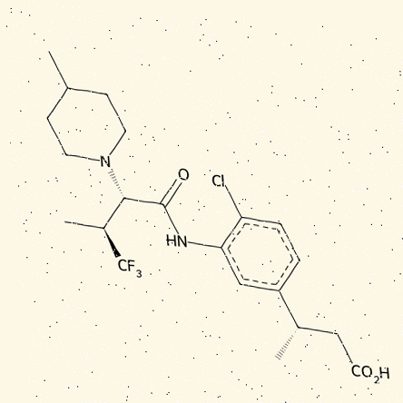 CC1CCN([C@H](C(=O)Nc2cc([C@@H](C)CC(=O)O)ccc2Cl)[C@H](C)C(F)(F)F)CC1